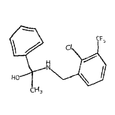 CC(O)(NCc1cccc(C(F)(F)F)c1Cl)c1ccccc1